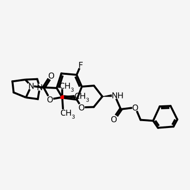 CC(C)(C)OC(=O)N1C2CCC1CN(c1cc(F)c3c(c1)OC[C@H](NC(=O)OCc1ccccc1)C3)C2